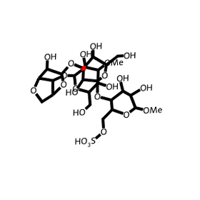 COC1OC(COS(=O)(=O)O)C(OC2OC(CO)C(O)C(OC3OC4COC(C3O)C4OC3OC(CO)C(O)C(OC)C3O)C2O)C(O)C1O